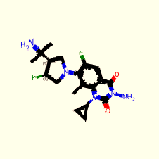 Cc1c(N2C[C@@H](F)[C@@H](C(C)(C)N)C2)c(F)cc2c(=O)n(N)c(=O)n(C3CC3)c12